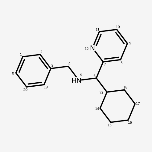 c1ccc(CNC(c2ccccn2)C2CCCCC2)cc1